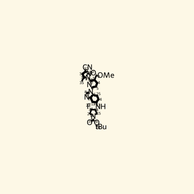 COC(=O)c1ccc(-n2cnc3cc(NC4CN(C(=O)OC(C)(C)C)CC4F)ccc32)nc1-n1nc(C#N)cc1C